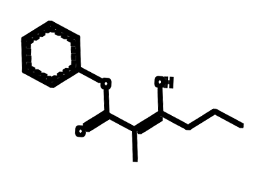 CCCC(O)=C(C)C(=O)Oc1ccccc1